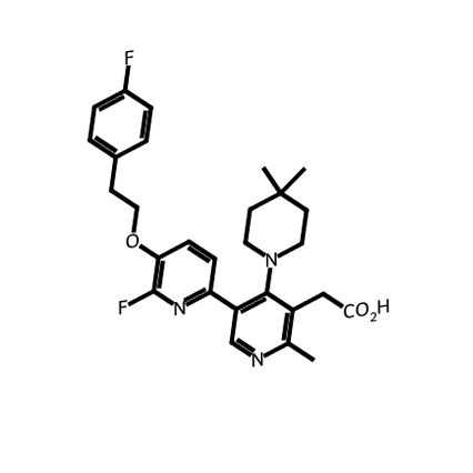 Cc1ncc(-c2ccc(OCCc3ccc(F)cc3)c(F)n2)c(N2CCC(C)(C)CC2)c1CC(=O)O